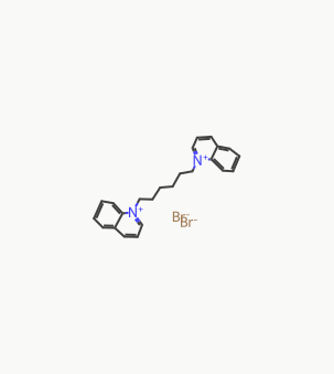 [Br-].[Br-].c1ccc2c(c1)ccc[n+]2CCCCCC[n+]1cccc2ccccc21